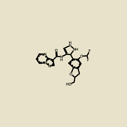 O=C(NC1=CNNC1c1cc2c(cc1OC(F)F)CC(CO)O2)c1cnn2cccnc12